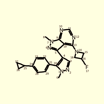 Cn1ncc(-c2nn(C)c3ncnc(N4CC(F)C4)c23)c1-c1ccc(C2CC2)cc1